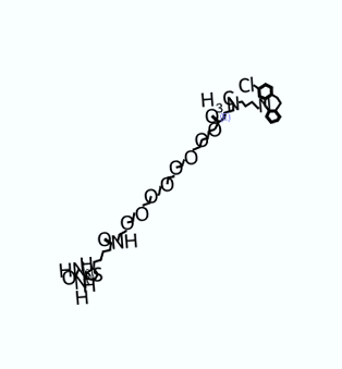 CN(C/C=C/C(=O)OCCOCCOCCOCCOCCOCCOCCOCCNC(=O)CCCCC1SC[C@@H]2NC(=O)N[C@H]12)CCCCN1c2ccccc2CCc2ccc(Cl)cc21